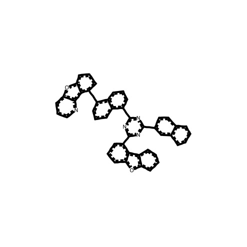 c1ccc2cc(-c3nc(-c4cccc5c(-c6cccc7oc8cccnc8c67)cccc45)nc(-c4cccc5oc6ccccc6c45)n3)ccc2c1